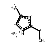 Br.CCc1nc(C)c[nH]1